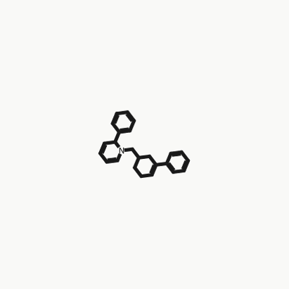 C1=CC(c2ccccc2)N(CC2CCC=C(c3ccccc3)C2)C=C1